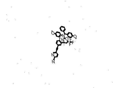 COc1ccc(C(c2ccccc2)N(C2=N[C@](C)(c3cc(C#Cc4ccc(C#N)nc4)ccc3F)C[C@@H](C(F)(F)F)O2)c2ccc(OC)cc2)cc1